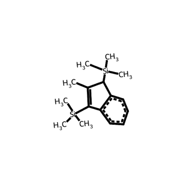 CC1=C([Si](C)(C)C)c2ccccc2C1[Si](C)(C)C